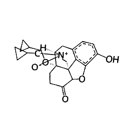 O=C1CC[C@@]2(OCC3CC3)[C@H]3Cc4ccc(O)c5c4[C@@]2(CC[N+]3([O-])CC2CC2)C1O5